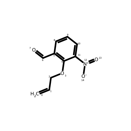 C=CCOc1c(C=O)cccc1[N+](=O)[O-]